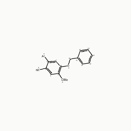 COc1cc(C#N)c(C(C)=O)cc1OCc1ccccc1